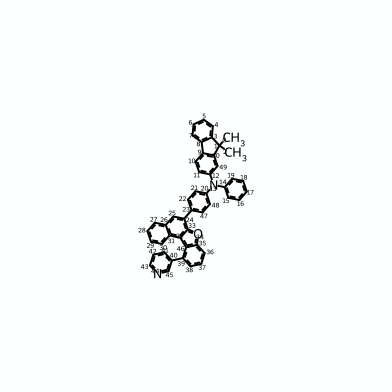 CC1(C)c2ccccc2-c2ccc(N(c3ccccc3)c3ccc(-c4cc5ccccc5c5c4oc4cccc(-c6cccnc6)c45)cc3)cc21